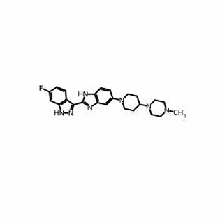 CN1CCN(C2CCN(c3ccc4[nH]c(-c5n[nH]c6cc(F)ccc56)nc4c3)CC2)CC1